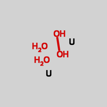 O.O.OO.[U].[U]